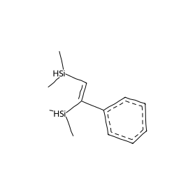 C[SiH](C)C=C(c1ccccc1)[SiH](C)C